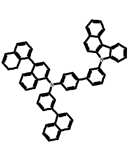 C1=Cc2cccc(-c3ccc(N(c4ccc(-c5cccc(-n6c7ccccc7c7c8ccccc8ccc76)c5)cc4)c4cccc(-c5cccc6ccccc56)c4)c4ccccc34)c2CC1